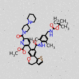 COC(=O)c1nc(C(=O)N2CCC(N3CCCCC3)CC2)ccc1-c1cc2c(cc1C(=O)Nc1c(C)cc(CNC(=O)OC(C)(C)C)cc1C)-c1sccc1CCO2